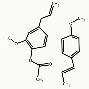 C/C=C/c1ccc(OC)cc1.C=CCc1ccc(OC(C)=O)c(OC)c1